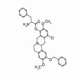 COc1cc2c(cc1OCc1ccccc1)C1Cc3c(Cl)cc(OC)c(OC(=O)C(N)Cc4ccccc4)c3CN1CC2